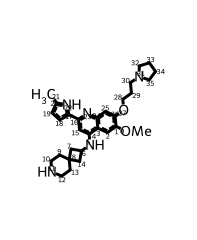 COc1cc2c(NC3CC4(CCNCC4)C3)cc(-c3ccc(C)[nH]3)nc2cc1OCCCN1CCCC1